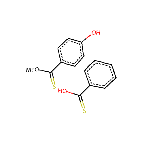 COC(=S)c1ccc(O)cc1.OC(=S)c1ccccc1